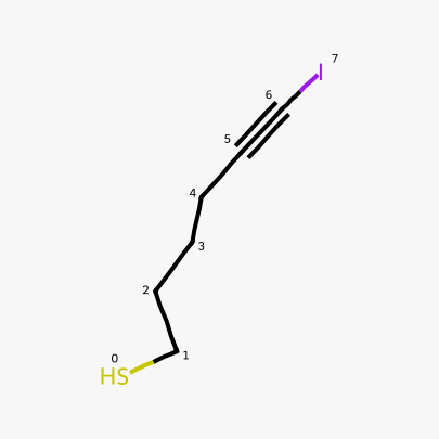 SCCCCC#CI